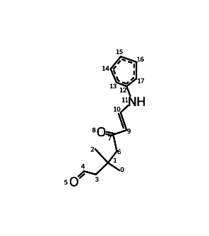 CC(C)(CC=O)CC(=O)/C=C/Nc1ccccc1